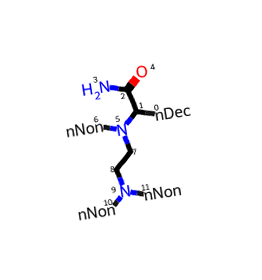 CCCCCCCCCCC(C(N)=O)N(CCCCCCCCC)CCN(CCCCCCCCC)CCCCCCCCC